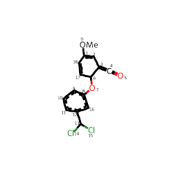 COC1=CC(=C=O)C(Oc2cccc(C(Cl)Cl)c2)C=C1